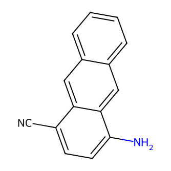 N#Cc1ccc(N)c2cc3ccccc3cc12